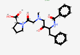 CN(CC(=O)C(Cc1ccccc1)NC(=O)c1ccccc1)CC(=O)N1CCC[C@H]1C(=O)O.Cl